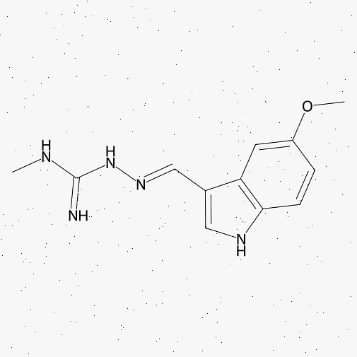 CNC(=N)N/N=C/c1c[nH]c2ccc(OC)cc12